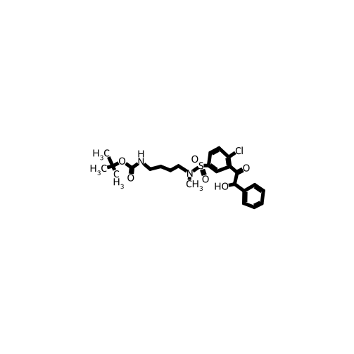 CN(CCCCNC(=O)OC(C)(C)C)S(=O)(=O)c1ccc(Cl)c(C(=O)C(O)c2ccccc2)c1